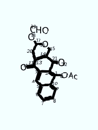 CC(=O)Oc1c2c(cc3ccccc13)C(=O)C1=C(COC(OC=O)C1)C2=O